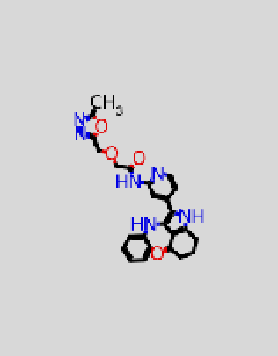 Cc1nnc(COCC(=O)Nc2cc(-c3[nH]c4c(c3Nc3ccccc3)C(=O)CCC4)ccn2)o1